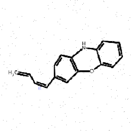 C=C/C=C\c1ccc2c(c1)Oc1ccccc1N2